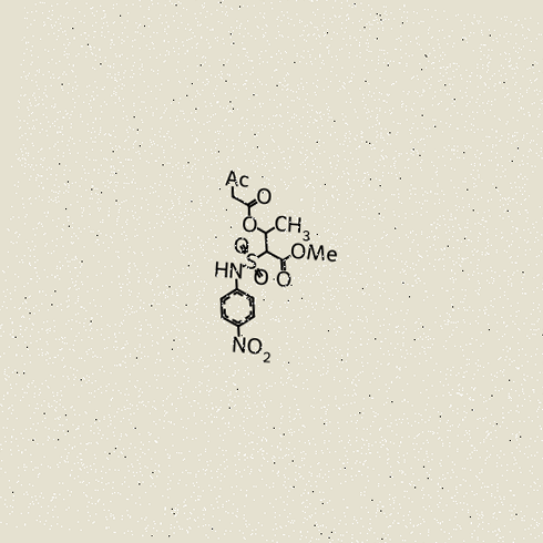 COC(=O)C(C(C)OC(=O)CC(C)=O)S(=O)(=O)Nc1ccc([N+](=O)[O-])cc1